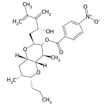 C=C(C)C(=C)[C@H](O)C[C@@H]1O[C@H]2C[C@@H](C)[C@@H](CCC)O[C@H]2[C@H](C)[C@H]1OC(=O)c1ccc([N+](=O)[O-])cc1